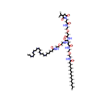 CC/C=C\C/C=C\C/C=C\C/C=C\C/C=C\CCCCC(=O)NCCOCCNC(=O)[C@H](CCC(=O)NCCOCCNC(=O)CCCCCCCCCCCCCCC)NC(=O)CCOCCNC(=O)CCN1C(=O)CC(C(C)C)C1=O